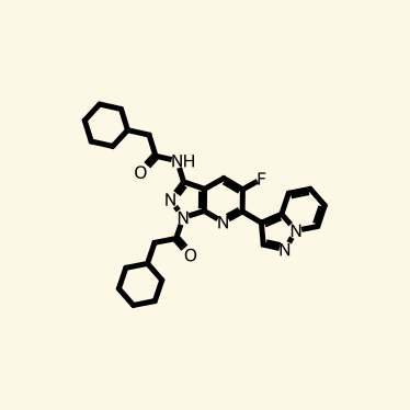 O=C(CC1CCCCC1)Nc1nn(C(=O)CC2CCCCC2)c2nc(-c3cnn4ccccc34)c(F)cc12